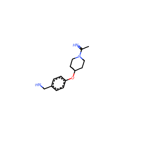 CC(=N)N1CCC(Oc2ccc(C[NH])cc2)CC1